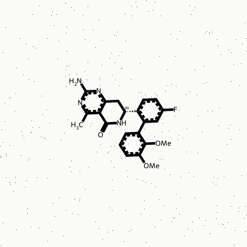 COc1cccc(-c2cc(F)ccc2[C@H]2Cc3nc(N)nc(C)c3C(=O)N2)c1OC